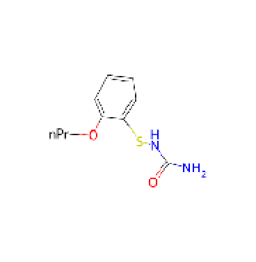 CCCOc1ccccc1SNC(N)=O